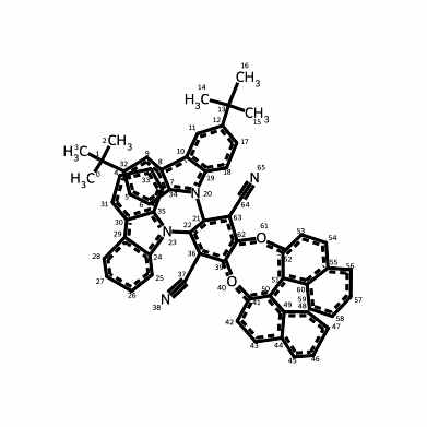 CC(C)(C)c1ccc2c(c1)c1cc(C(C)(C)C)ccc1n2-c1c(-n2c3ccccc3c3ccccc32)c(C#N)c2oc3ccc4ccccc4c3c3c(ccc4ccccc43)oc2c1C#N